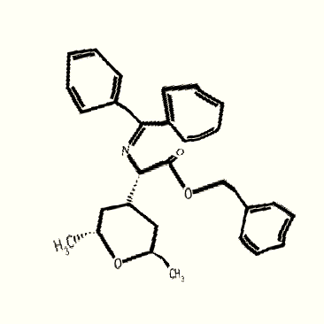 C[C@@H]1CC([C@H](N=C(c2ccccc2)c2ccccc2)C(=O)OCc2ccccc2)C[C@@H](C)O1